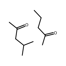 CC(=O)CC(C)C.CCCC(C)=O